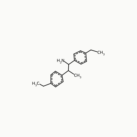 CCc1ccc(C(C)C(N)c2ccc(CC)cc2)cc1